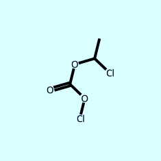 CC(Cl)OC(=O)OCl